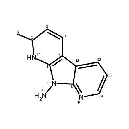 CC1C=Cc2c(n(N)c3ncccc23)N1